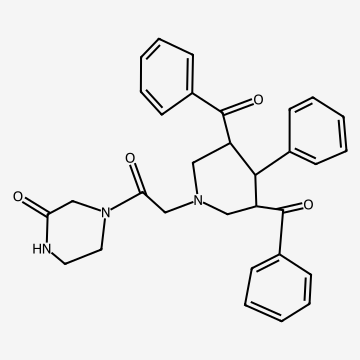 O=C1CN(C(=O)CN2CC(C(=O)c3ccccc3)C(c3ccccc3)C(C(=O)c3ccccc3)C2)CCN1